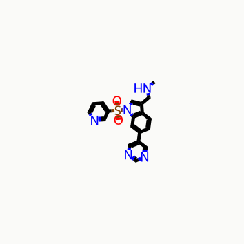 CNCc1cn(S(=O)(=O)c2cccnc2)c2cc(-c3cncnc3)ccc12